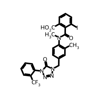 Cc1cc(Cn2nnn(-c3ccccc3C(F)(F)F)c2=O)ccc1N(C)C(=O)c1c(I)cccc1C(=O)O